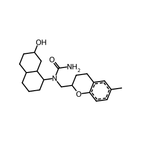 Cc1ccc2c(c1)CCC(CN(C(N)=O)C1CCCC3CCC(O)CC31)O2